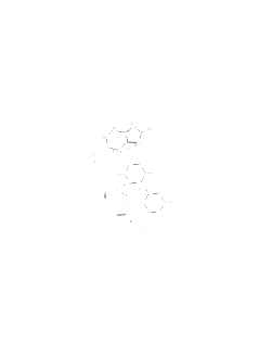 CCc1nc2c(C)cc(C)nc2n1Cc1ccc(N(C(C)C)C(C(=O)OC)c2ccccc2)cc1